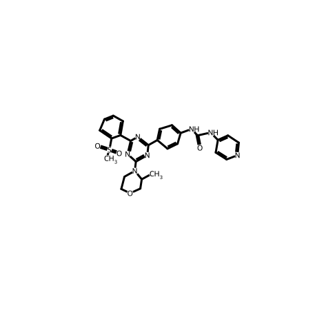 CC1COCCN1c1nc(-c2ccc(NC(=O)Nc3ccncc3)cc2)nc(-c2ccccc2S(C)(=O)=O)n1